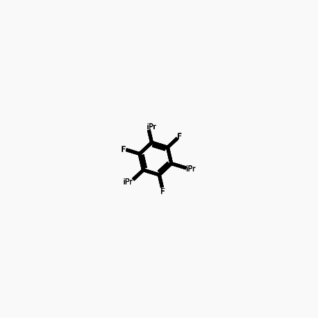 CC(C)c1c(F)c(C(C)C)c(F)c(C(C)C)c1F